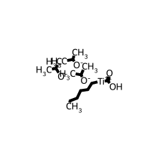 CC(C)[O-].CC(C)[O-].CC(C)[O-].CCCCC[CH2][Ti+3][C](=O)O